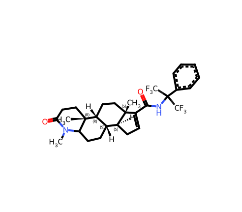 CN1C(=O)CC[C@@]2(C)C1CC[C@@H]1[C@H]2CC[C@]2(C)C(C(=O)NC(c3ccccc3)(C(F)(F)F)C(F)(F)F)=CC[C@@H]12